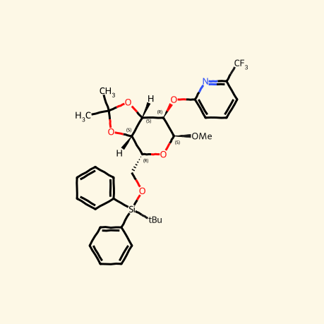 CO[C@H]1O[C@H](CO[Si](c2ccccc2)(c2ccccc2)C(C)(C)C)[C@@H]2OC(C)(C)O[C@@H]2[C@H]1Oc1cccc(C(F)(F)F)n1